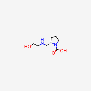 O=C(O)N1CCC[C@H]1CNCCO